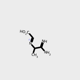 CC(/N=C/C(=O)O)C(=N)N